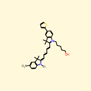 CCN1/C(=C/C=C/C=C/C2=[N+](CCCCCO)c3ccc(-c4cccs4)cc3C2(C)C)C(C)(C)c2cc([N+](=O)[O-])ccc21